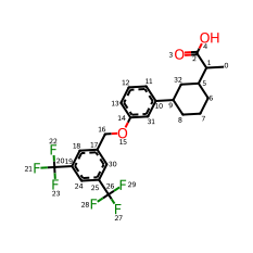 CC(C(=O)O)C1CCCC(c2cccc(OCc3cc(C(F)(F)F)cc(C(F)(F)F)c3)c2)C1